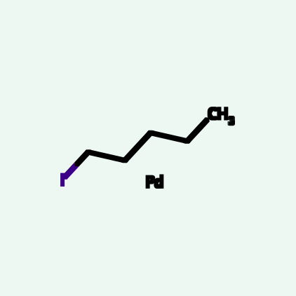 CCCCCI.[Pd]